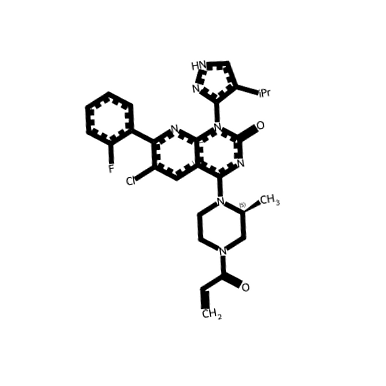 C=CC(=O)N1CCN(c2nc(=O)n(-c3n[nH]cc3C(C)C)c3nc(-c4ccccc4F)c(Cl)cc23)[C@@H](C)C1